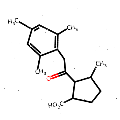 Cc1cc(C)c(CC(=O)C2C(C)CCC2C(=O)O)c(C)c1